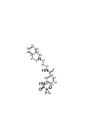 C=C(NCCCN1CCc2ccccc2C1)c1ccc2c(c1)NC(=O)C1(CC1)O2